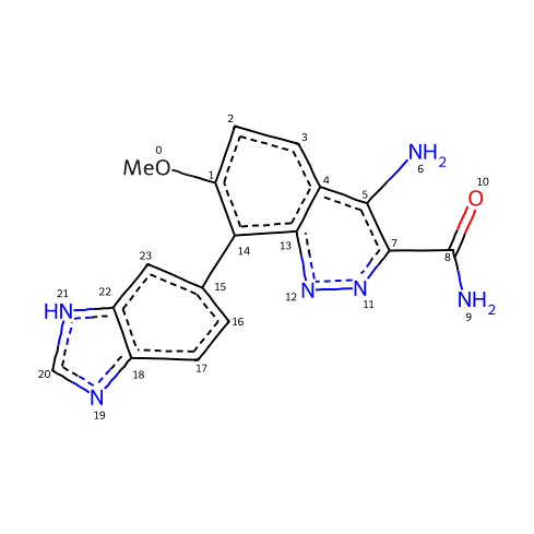 COc1ccc2c(N)c(C(N)=O)nnc2c1-c1ccc2nc[nH]c2c1